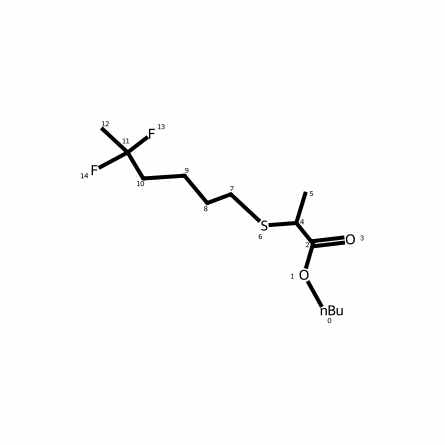 CCCCOC(=O)C(C)SCCCCC(C)(F)F